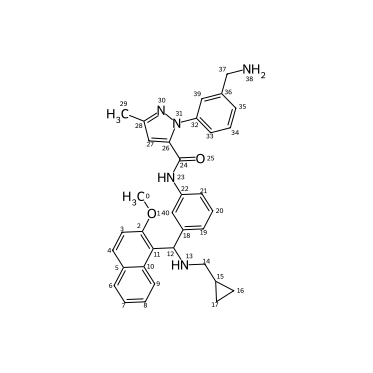 COc1ccc2ccccc2c1C(NCC1CC1)c1cccc(NC(=O)c2cc(C)nn2-c2cccc(CN)c2)c1